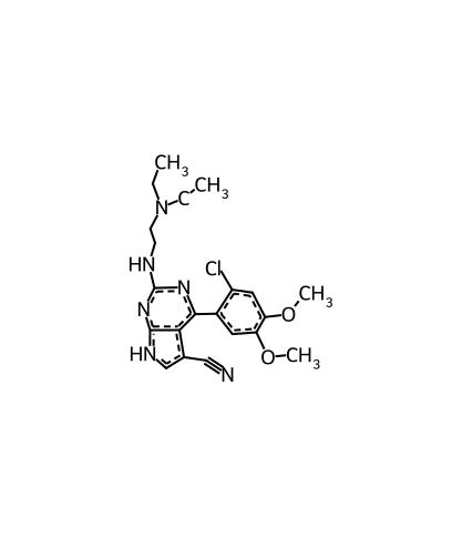 CCN(CC)CCNc1nc(-c2cc(OC)c(OC)cc2Cl)c2c(C#N)c[nH]c2n1